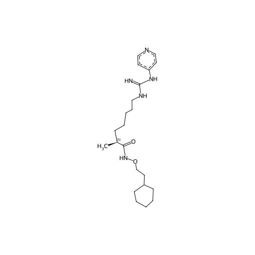 C[C@@H](CCCCCNC(=N)Nc1ccncc1)C(=O)NOCCC1CCCCC1